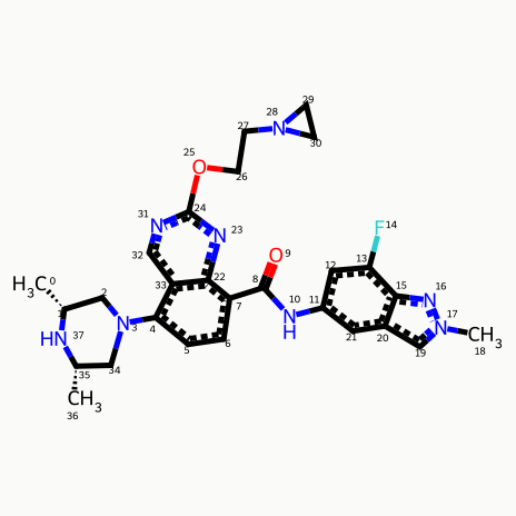 C[C@@H]1CN(c2ccc(C(=O)Nc3cc(F)c4nn(C)cc4c3)c3nc(OCCN4CC4)ncc23)C[C@H](C)N1